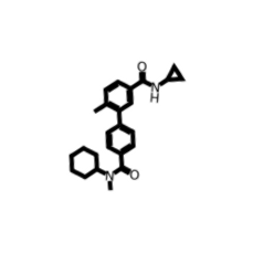 Cc1ccc(C(=O)NC2CC2)cc1-c1ccc(C(=O)N(C)C2CCCCC2)cc1